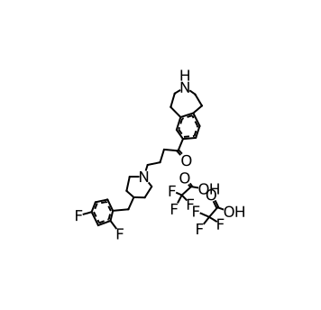 O=C(CCCN1CCC(Cc2ccc(F)cc2F)CC1)c1ccc2c(c1)CCNCC2.O=C(O)C(F)(F)F.O=C(O)C(F)(F)F